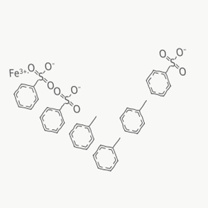 Cc1ccccc1.Cc1ccccc1.Cc1ccccc1.O=S(=O)([O-])c1ccccc1.O=S(=O)([O-])c1ccccc1.O=S(=O)([O-])c1ccccc1.[Fe+3]